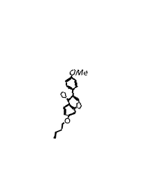 C=CCCOc1ccc2c(=O)c(-c3ccc(OC)cc3)coc2c1